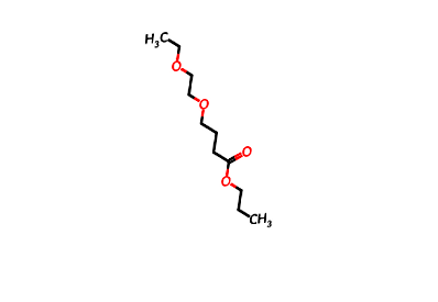 CCCOC(=O)CCCOCCOCC